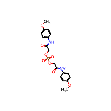 COc1ccc(NC(=O)COS(=O)(=O)OCC(=O)Nc2ccc(OC)cc2)cc1